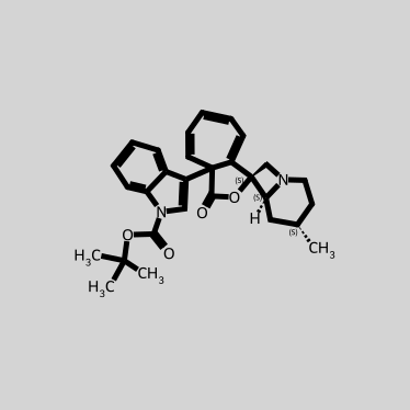 C[C@H]1CCN2C[C@]3(OC(=O)C4(c5cn(C(=O)OC(C)(C)C)c6ccccc56)C=CC=CC=C43)[C@@H]2C1